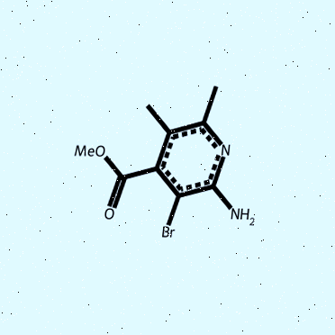 COC(=O)c1c(C)c(C)nc(N)c1Br